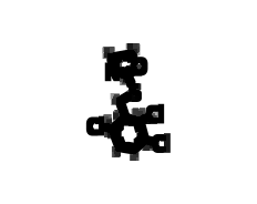 Clc1ccc(Cl)c(CSc2ncco2)c1Cl